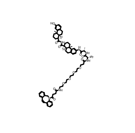 CC(C)[C@H](NC(=O)CCOCCOCCOCCOCCNC(=O)CCC(=O)N1Cc2ccccc2C#Cc2ccccc21)C(=O)N[C@@H](C)C(=O)Nc1ccc2c(c1)[C@@]1(C)CCC[C@](C)(C(=O)NC(=O)[C@@]3(C)CCC[C@]4(C)c5cc(O)ccc5CC[C@@H]34)[C@@H]1CC2